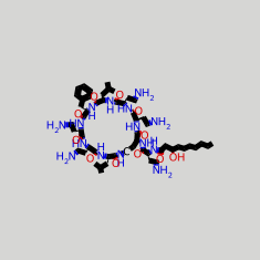 CCCCCCC[C@@H](O)CC(=O)N[C@H](CCN)C(=O)N[C@H]1CCNC(=O)[C@H](CC(C)C)NC(=O)[C@H](CCN)NC(=O)[C@H](CCN)NC(=O)[C@H](Cc2ccccc2)NC(=O)[C@@H](CC(C)C)NC(=O)[C@H](CCN)NC(=O)[C@@H](CCN)NC1=O